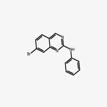 Brc1ccc2cnc(Nc3ccccc3)nc2c1